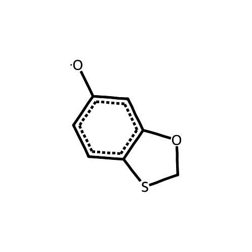 [O]c1ccc2c(c1)OCS2